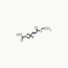 CCOC(=O)/C=C/C1(F)CN(C(=O)O)C1